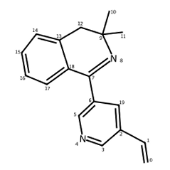 C=Cc1cncc(C2=NC(C)(C)Cc3ccccc32)c1